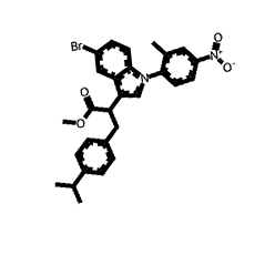 COC(=O)C(Cc1ccc(C(C)C)cc1)c1cn(-c2ccc([N+](=O)[O-])cc2C)c2ccc(Br)cc12